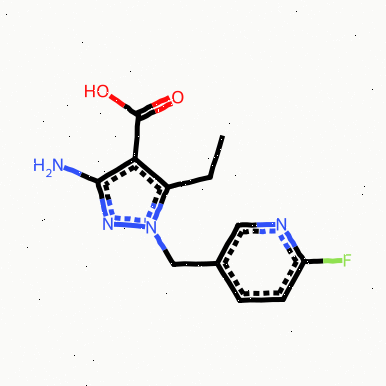 CCc1c(C(=O)O)c(N)nn1Cc1ccc(F)nc1